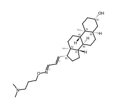 CN(C)CCCO/N=C/C=C/[C@H]1CC[C@H]2[C@@H]3CC[C@@H]4C[C@@H](O)CC[C@]4(C)[C@H]3CC[C@]12C